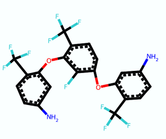 Nc1ccc(C(F)(F)F)c(Oc2ccc(C(F)(F)F)c(Oc3cc(N)ccc3C(F)(F)F)c2F)c1